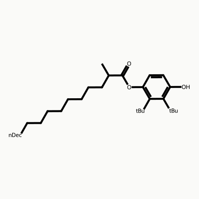 CCCCCCCCCCCCCCCCCCC(C)C(=O)Oc1ccc(O)c(C(C)(C)C)c1C(C)(C)C